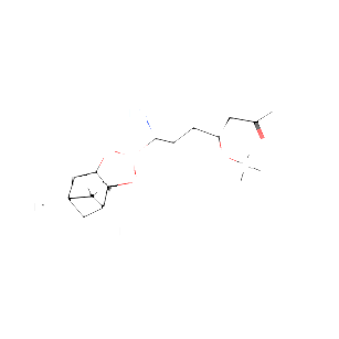 CC(C)COC(=O)C[C@H](CC[C@H](N)B1O[C@@H]2C[C@@H]3C[C@@H](C3(C)C)[C@]2(C)O1)O[Si](C)(C)C(C)(C)C